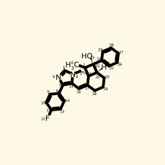 CC1[C@]23Cn4cnc(-c5ccc(F)cc5)c4C=C2CCC[C@@H]3[C@]1(O)c1ccccc1